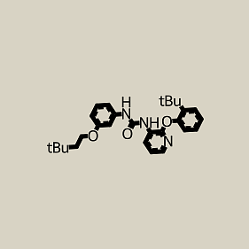 CC(C)(C)CCOc1cccc(NC(=O)Nc2cccnc2Oc2ccccc2C(C)(C)C)c1